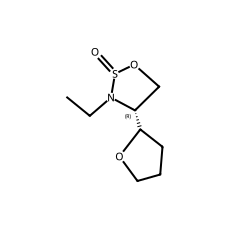 CCN1[C@@H](C2CCCO2)COS1=O